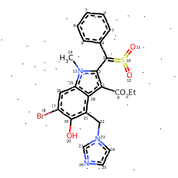 CCOC(=O)c1c(C(c2ccccc2)=S(=O)=O)n(C)c2cc(Br)c(O)c(Cn3ccnc3)c12